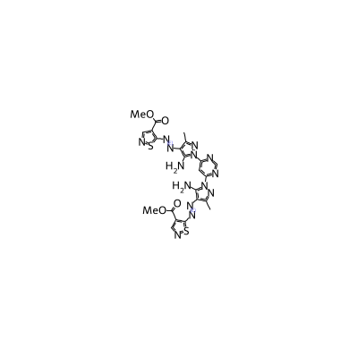 COC(=O)c1cnsc1/N=N/c1c(C)nn(-c2cc(-n3nc(C)c(/N=N/c4sncc4C(=O)OC)c3N)ncn2)c1N